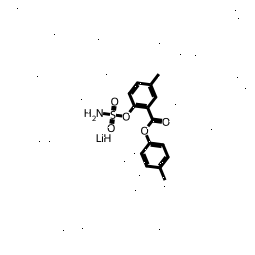 Cc1ccc(OC(=O)c2cc(C)ccc2OS(N)(=O)=O)cc1.[LiH]